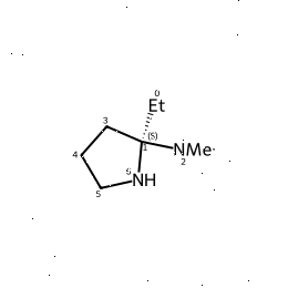 CC[C@@]1([N]C)CCCN1